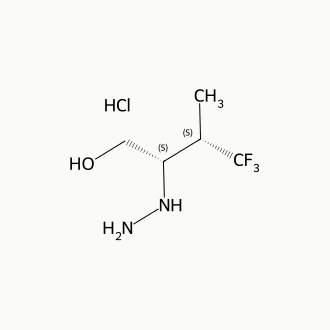 C[C@@H]([C@@H](CO)NN)C(F)(F)F.Cl